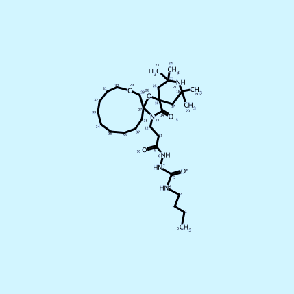 CCCCNC(=O)NNC(=O)CCN1C(=O)C2(CC(C)(C)NC(C)(C)C2)OC12CCCCCCCCCCC2